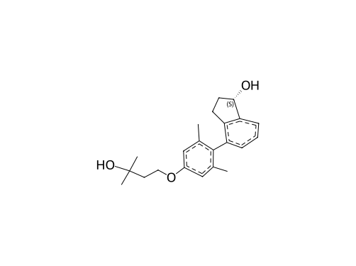 Cc1cc(OCCC(C)(C)O)cc(C)c1-c1cccc2c1CC[C@@H]2O